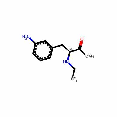 COC(=O)[C@H](Cc1cccc(N)c1)NCC(F)(F)F